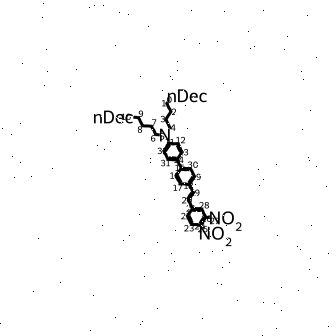 CCCCCCCCCCCCCCN(CCCCCCCCCCCCCC)c1ccc(-c2ccc(/C=C/c3ccc([N+](=O)[O-])c([N+](=O)[O-])c3)cc2)cc1